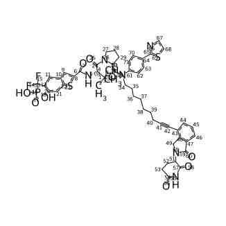 CC(C)(C)[C@H](NC(=O)c1cc2cc(C(F)(F)P(=O)(O)O)ccc2s1)C(=O)N1CCC[C@H]1C(=O)N(CCCCCCCC#Cc1cccc2c1CN(C1CCC(=O)NC1=O)C2=O)c1ccc(-c2nccs2)cc1